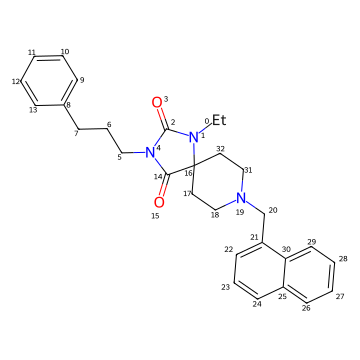 CCN1C(=O)N(CCCc2ccccc2)C(=O)C12CCN(Cc1cccc3ccccc13)CC2